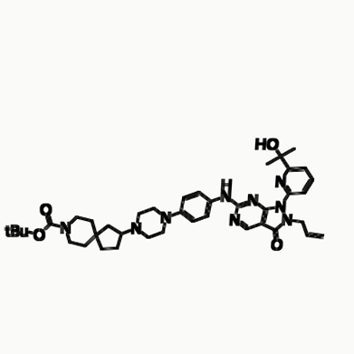 C=CCn1c(=O)c2cnc(Nc3ccc(N4CCN(C5CCC6(CCN(C(=O)OC(C)(C)C)CC6)C5)CC4)cc3)nc2n1-c1cccc(C(C)(C)O)n1